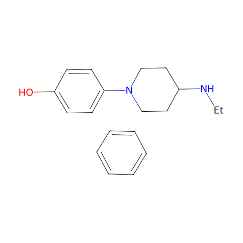 CCNC1CCN(c2ccc(O)cc2)CC1.c1ccccc1